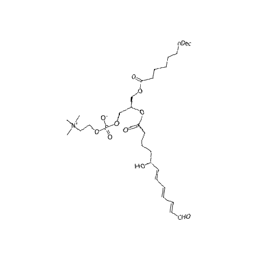 CCCCCCCCCCCCCCCC(=O)OC[C@H](COP(=O)([O-])OCC[N+](C)(C)C)OC(=O)CCCC(O)C=CC=CC=CC=O